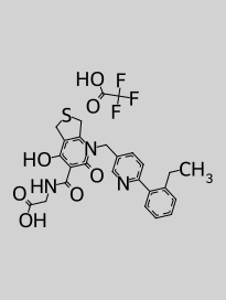 CCc1ccccc1-c1ccc(Cn2c3c(c(O)c(C(=O)NCC(=O)O)c2=O)CSC3)cn1.O=C(O)C(F)(F)F